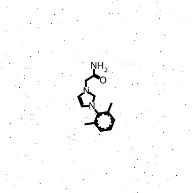 Cc1cccc(C)c1N1C=CN(CC(N)=O)C1